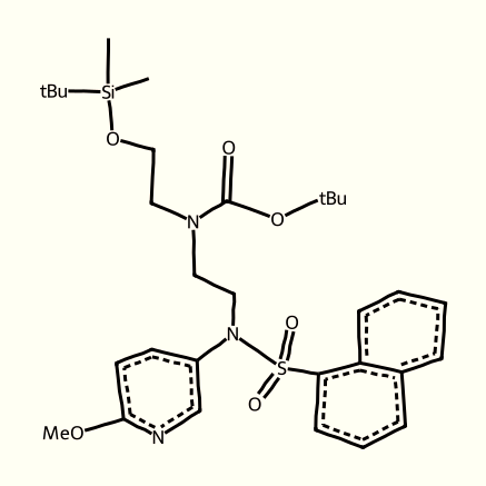 COc1ccc(N(CCN(CCO[Si](C)(C)C(C)(C)C)C(=O)OC(C)(C)C)S(=O)(=O)c2cccc3ccccc23)cn1